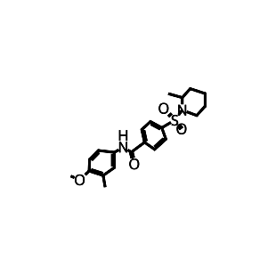 COc1ccc(NC(=O)c2ccc(S(=O)(=O)N3CCCCC3C)cc2)cc1C